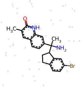 Cc1cc2ccc(C(C)(N)C3CCc4ccc(Br)cc43)cc2[nH]c1=O